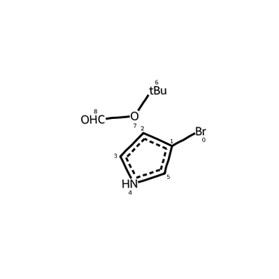 Brc1cc[nH]c1.CC(C)(C)OC=O